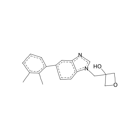 Cc1cccc(-c2ccc3c(c2)ncn3CC2(O)COC2)c1C